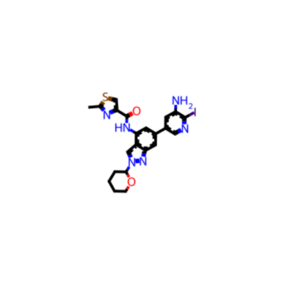 Cc1nc(C(=O)Nc2cc(-c3cnc(I)c(N)c3)cc3nn(C4CCCCO4)cc23)cs1